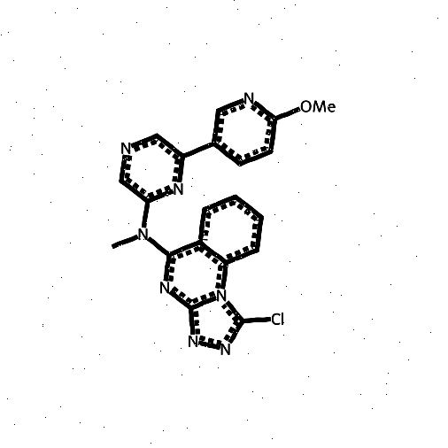 COc1ccc(-c2cncc(N(C)c3nc4nnc(Cl)n4c4ccccc34)n2)cn1